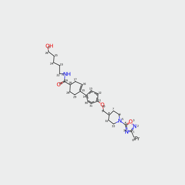 CC(C)c1noc(N2CCC(COc3ccc(C4=CCC(C(=O)NCCCCCO)CC4)cc3)CC2)n1